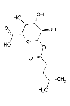 CC(C)CCC(=O)OC1O[C@H](C(=O)O)[C@@H](O)[C@H](O)[C@H]1O